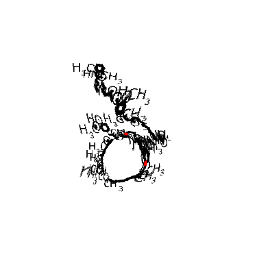 CN/C(=C/[N+](=O)[O-])NCCSCc1ccc(CN(C)C)o1.CO[C@H]1C[C@@H]2CC[C@@H](C)[C@@](O)(O2)C(=O)C(=O)N2CCCC[C@H]2C(=O)O[C@H]([C@H](C)C[C@@H]2CC[C@@H](O)[C@H](OC)C2)CC(=O)[C@H](C)/C=C(\C)[C@@H](O)[C@@H](OC)C(=O)[C@H](C)C[C@H](C)/C=C/C=C/C=C/1C.COc1ccccc1OCC(O)CN1CCN(CC(=O)Nc2c(C)cccc2C)CC1.Cl